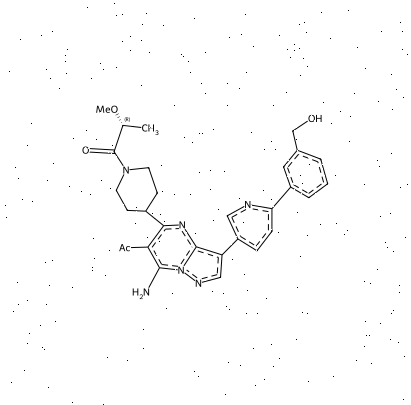 CO[C@H](C)C(=O)N1CCC(c2nc3c(-c4ccc(-c5cccc(CO)c5)nc4)cnn3c(N)c2C(C)=O)CC1